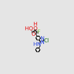 OC[C@H]1OC(c2ccc3c(NCc4ccccc4)nc(Cl)nc3c2)[C@@H](F)[C@@H]1O